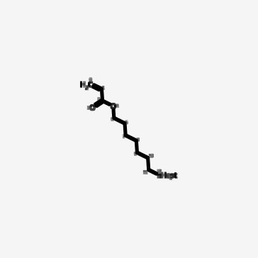 C=CC(=O)OCCCCCCCCCCCCCC